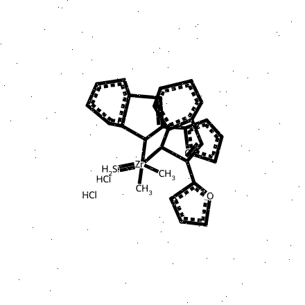 Cl.Cl.[CH3][Zr]([CH3])(=[SiH2])([CH]1C(c2ccco2)=Cc2ccccc21)[CH]1C(c2ccco2)=Cc2ccccc21